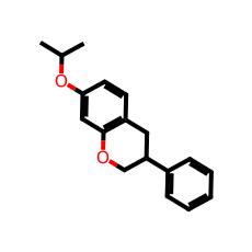 CC(C)Oc1ccc2c(c1)OCC(c1ccccc1)C2